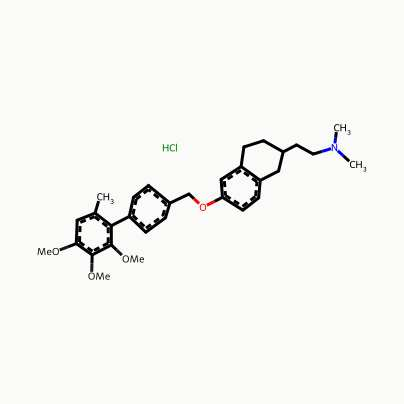 COc1cc(C)c(-c2ccc(COc3ccc4c(c3)CCC(CCN(C)C)C4)cc2)c(OC)c1OC.Cl